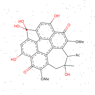 COc1c2c3c4c(c(OC)c(=O)c5c(O)cc(CO)c(c6c(CO)cc(O)c(c1=O)c63)c54)C(C(C)=O)C(C)(O)C2